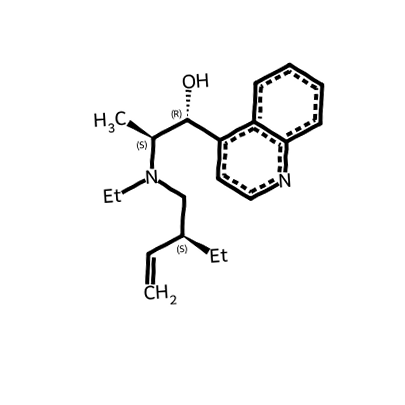 C=C[C@H](CC)CN(CC)[C@@H](C)[C@H](O)c1ccnc2ccccc12